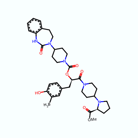 Bc1cc(C[C@@H](OC(=O)N2CCC(N3CCc4ccccc4NC3=O)CC2)C(=O)N2CCC(N3CCC[C@H]3C(=O)OC)CC2)ccc1O